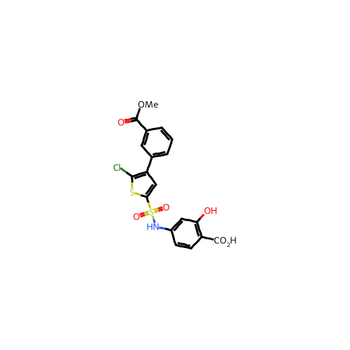 COC(=O)c1cccc(-c2cc(S(=O)(=O)Nc3ccc(C(=O)O)c(O)c3)sc2Cl)c1